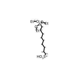 CCO[Si](CCCCCCCCCS(=O)(=O)O)(OCC)OCC